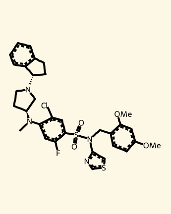 COc1ccc(CN(c2cscn2)S(=O)(=O)c2cc(Cl)c(N(C)[C@H]3CCN([C@H]4CCc5ccccc54)C3)cc2F)c(OC)c1